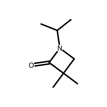 CC(C)N1CC(C)(C)C1=O